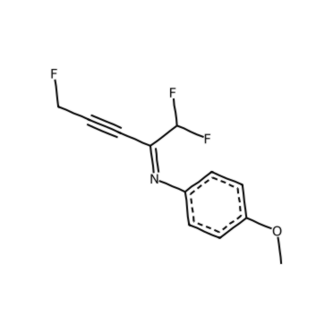 COc1ccc(N=C(C#CCF)C(F)F)cc1